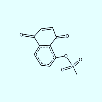 CS(=O)(=O)Oc1cccc2c1C(=O)C=CC2=O